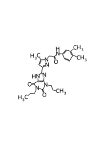 CCCn1c(=O)c2[nH]c(-c3cc(C)n(CC(=O)Nc4ccc(C)c(C)c4)n3)nc2n(CCC)c1=O